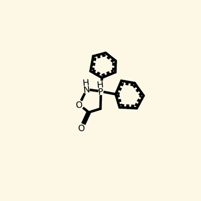 O=C1C[PH](c2ccccc2)(c2ccccc2)NO1